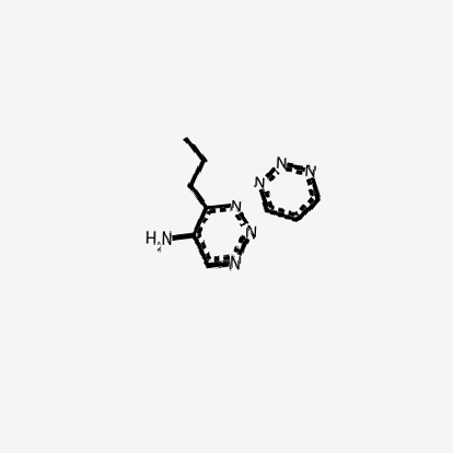 CCCc1nnncc1N.c1cnnnc1